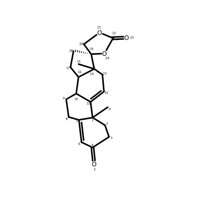 CC12CCC(=O)C=C1CCC1C2=CCC2(C)C1CC[C@@]21COC(=O)O1